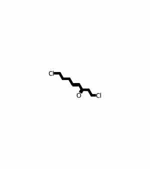 O=C(C=CCCCCl)CCCl